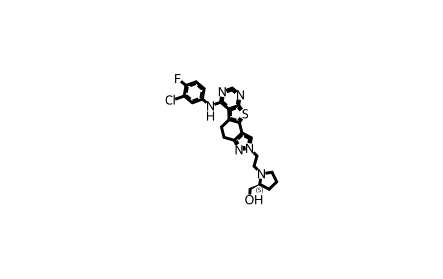 OC[C@@H]1CCCN1CCn1cc2c(n1)CCc1c-2sc2ncnc(Nc3ccc(F)c(Cl)c3)c12